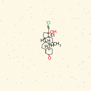 C=C1C[C@@]2(CC)[C@@H](CC[C@@]2(O)C#CCl)[C@@H]2CCC3=CC(=O)CC[C@@H]3[C@@H]12